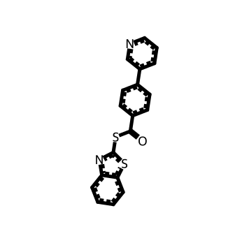 O=C(Sc1nc2ccccc2s1)c1ccc(-c2cccnc2)cc1